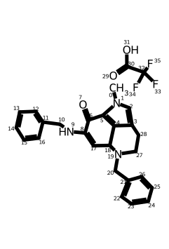 Cn1cc2c3c1C(=O)C(NCc1ccccc1)=CC3N(Cc1ccccc1)CC2.O=C(O)C(F)(F)F